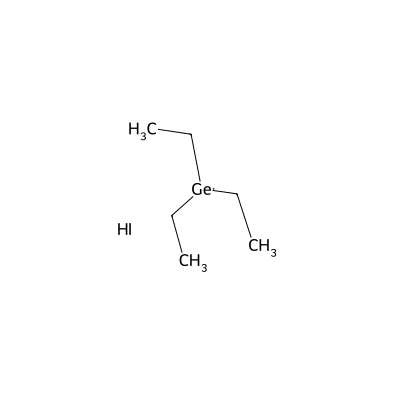 C[CH2][Ge]([CH2]C)[CH2]C.I